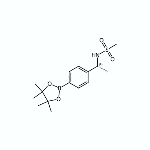 C[C@@H](NS(C)(=O)=O)c1ccc(B2OC(C)(C)C(C)(C)O2)cc1